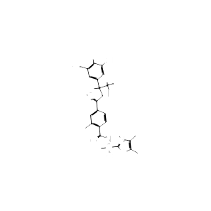 Cc1cc(C2=NOC(c3cc(Cl)c(F)c(Cl)c3)(C(F)(F)F)C2)ccc1C(=O)N=S(C)(=O)c1nc(C)c(C)s1